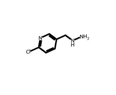 NNCc1ccc(Cl)nc1